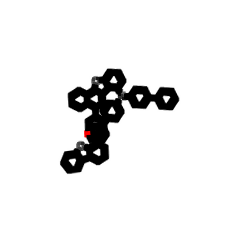 c1ccc(-c2ccc(N(c3ccc(-c4ccccc4)cc3)c3cccc4oc5c6ccccc6c(-c6ccc(-c7cccc8c7oc7ccccc78)cc6)cc5c34)cc2)cc1